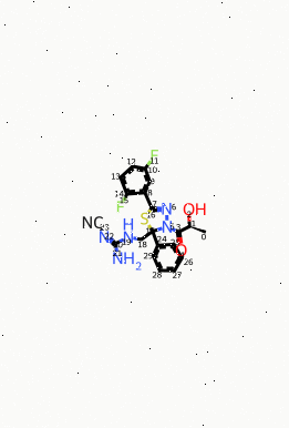 C[C@H](O)C(=O)N1N=C(c2cc(F)ccc2F)SC1(CN/C(N)=N\C#N)c1ccccc1